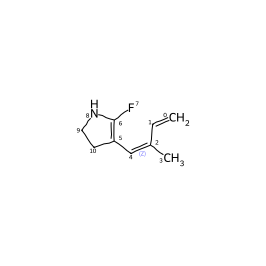 C=C/C(C)=C\C1=C(F)NCC1